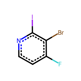 Fc1ccnc(I)c1Br